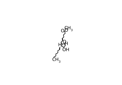 CCCCCC/C=C/[C@@H]1[C@H]2C/C(=C/CCCC(=O)OC)O[C@H]2C[C@H]1O